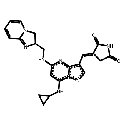 O=C1C/C(=C\c2cnn3c(NC4CC4)cc(NCC4CN5C=CC=CC5=N4)nc23)C(=O)N1